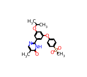 Cc1cnc(-c2cc(Oc3ccc(S(C)(=O)=O)cc3)cc(OC(C)C)c2)[nH]c1=O